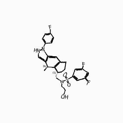 C[C@H]1C2=CNN(c3ccc(F)cc3)C2=CC2=C1[C@@H](CN(CCO)S(=O)(=O)c1cc(F)cc(F)c1)CC2